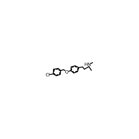 CNC(C)CCc1ccc(OCc2ccc(Cl)cc2)cc1